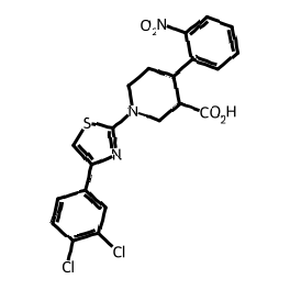 O=C(O)C1CN(c2nc(-c3ccc(Cl)c(Cl)c3)cs2)CCC1c1ccccc1[N+](=O)[O-]